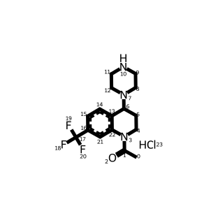 CC(=O)N1CCC(N2CCNCC2)c2ccc(C(F)(F)F)cc21.Cl